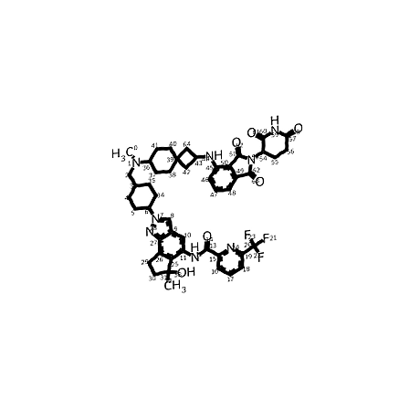 CN(CC1CCC(n2cc3cc(NC(=O)c4cccc(C(F)(F)F)n4)c4c(c3n2)CCC4(C)O)CC1)C1CCC2(CC1)CC(Nc1cccc3c1C(=O)N(C1CCC(=O)NC1=O)C3=O)C2